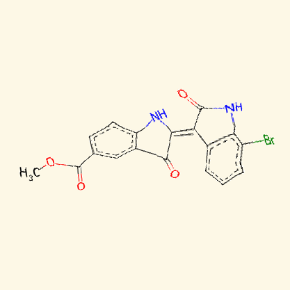 COC(=O)c1ccc2c(c1)C(=O)/C(=C1/C(=O)Nc3c(Br)cccc31)N2